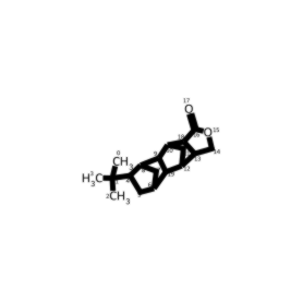 CC(C)(C)C1CC2CC1C1C3CC(C4COC(=O)C43)C21